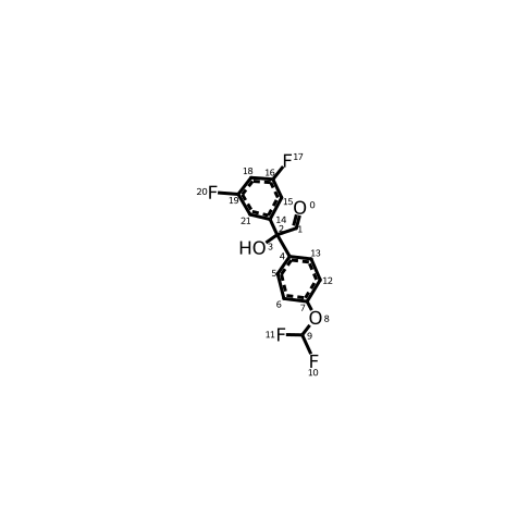 O=CC(O)(c1ccc(OC(F)F)cc1)c1cc(F)cc(F)c1